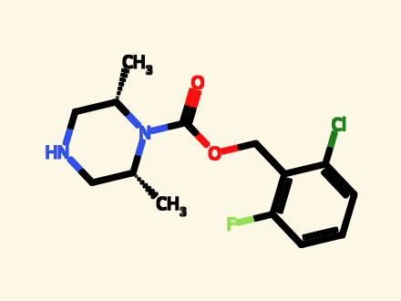 C[C@@H]1CNC[C@H](C)N1C(=O)OCc1c(F)cccc1Cl